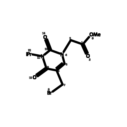 COC(=O)Cn1cc(CBr)c(=O)n(C(C)C)c1=O